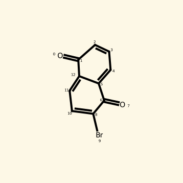 O=C1C=CC=C2C(=O)C(Br)=CC=C12